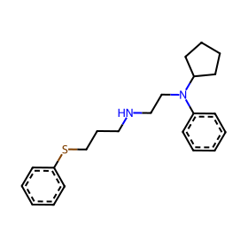 c1ccc(SCCCNCCN(c2ccccc2)C2CCCC2)cc1